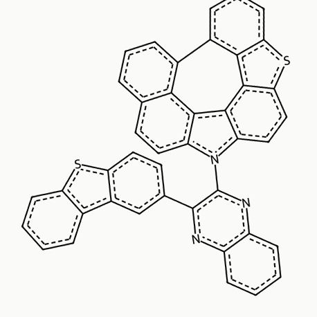 c1cc2c3c(c1)ccc1c3c3c4c(ccc3n1-c1nc3ccccc3nc1-c1ccc3sc5ccccc5c3c1)sc1cccc-2c14